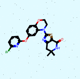 CC1(C)Cc2nc(N3CCOc4ccc(Oc5cccc(Br)n5)cc43)sc2C(=O)N1